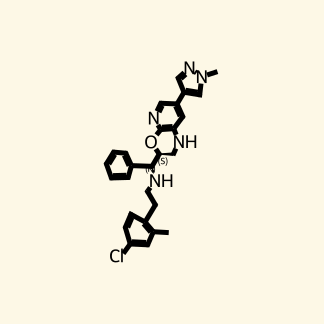 Cc1cc(Cl)ccc1CCN[C@H](c1ccccc1)[C@@H]1CNc2cc(-c3cnn(C)c3)cnc2O1